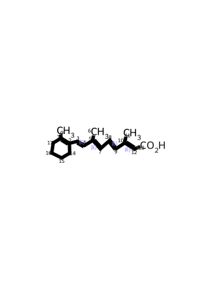 CC1=C(/C=C/C(C)=C/C=C/C(C)=C/C(=O)O)CCCC1